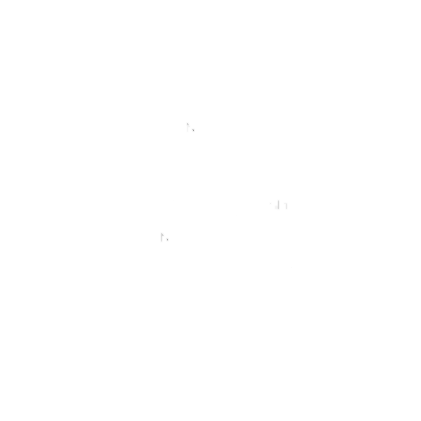 CCC/C(=C\C1CCCCC1)P(c1ccccn1)c1ccccn1